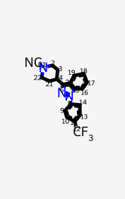 N#CN1CCC(c2nn(-c3ccc(C(F)(F)F)cc3)c3ccccc23)CC1